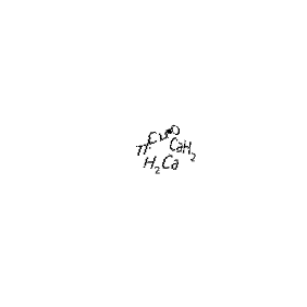 [CaH2].[CaH2].[O]=[Cu].[Tl]